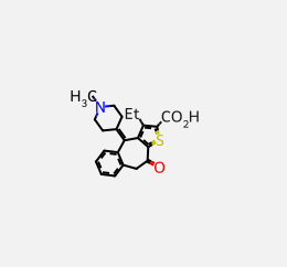 CCc1c(C(=O)O)sc2c1C(=C1CCN(C)CC1)c1ccccc1CC2=O